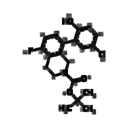 CC(C)(C)OC(=O)N1CCc2c(F)ccc(-c3cc(Cl)ccc3O)c2C1